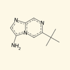 CC(C)(C)c1cn2c(N)cnc2cn1